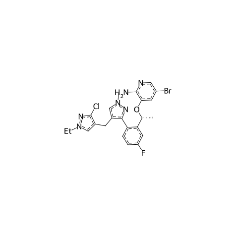 CCn1cc(Cc2cn(C)nc2-c2ccc(F)cc2[C@@H](C)Oc2cc(Br)cnc2N)c(Cl)n1